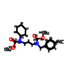 [C-]#[N+]c1ccc(CN(CCCN(C(=O)OC(C)(C)C)C2CCCCC2)C(=O)OC(C)(C)C)cc1